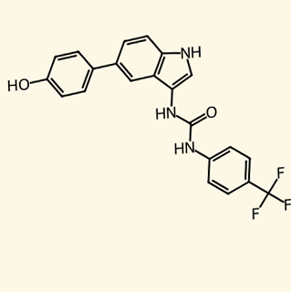 O=C(Nc1ccc(C(F)(F)F)cc1)Nc1c[nH]c2ccc(-c3ccc(O)cc3)cc12